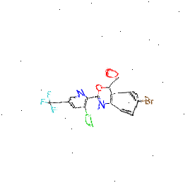 O=CC1OC(c2ncc(C(F)(F)F)cc2Cl)=Nc2ccc(Br)cc21